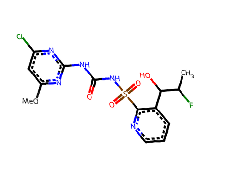 COc1cc(Cl)nc(NC(=O)NS(=O)(=O)c2ncccc2C(O)C(C)F)n1